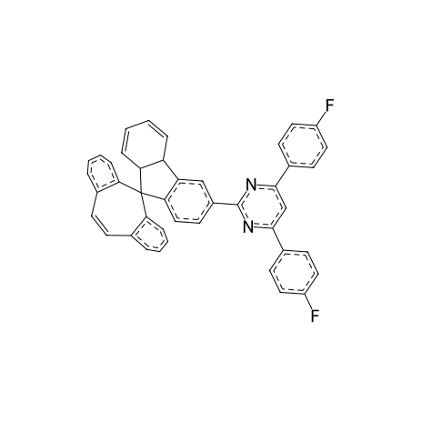 Fc1ccc(-c2cc(-c3ccc(F)cc3)nc(-c3ccc4c(c3)C3C=CC=CC3C43c4ccccc4C=Cc4ccccc43)n2)cc1